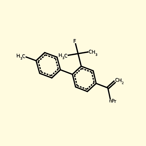 C=C(CCC)c1ccc(-c2ccc(C)cc2)c(C(C)(C)F)c1